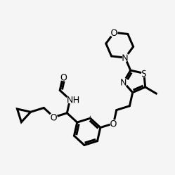 Cc1sc(N2CCOCC2)nc1CCOc1[c]c(C(NC=O)OCC2CC2)ccc1